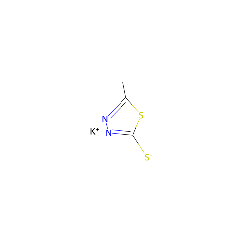 Cc1nnc([S-])s1.[K+]